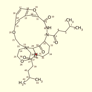 CC(C)CCC(=O)N1NC(=O)c2cc3cc(ccc3o2)OCC[N+]2(CCOCC2)[C@H]2C(=O)C1CCCN2C(=O)CCC(C)C